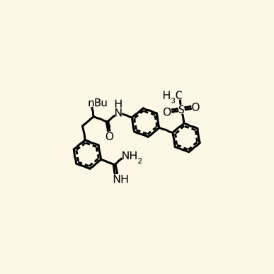 CCCCC(Cc1cccc(C(=N)N)c1)C(=O)Nc1ccc(-c2ccccc2S(C)(=O)=O)cc1